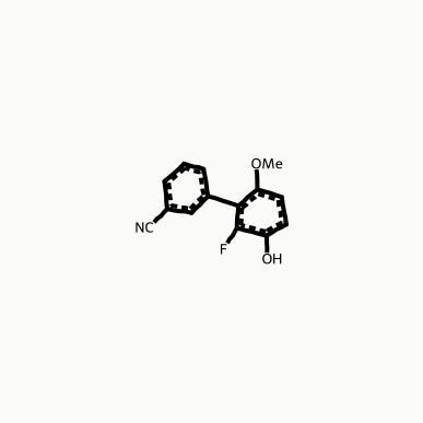 COc1ccc(O)c(F)c1-c1cccc(C#N)c1